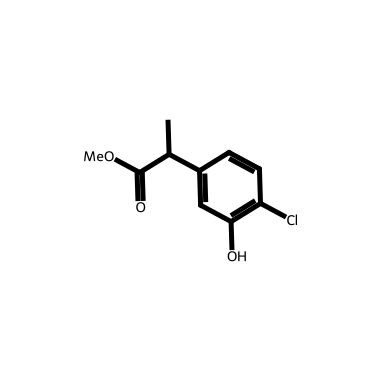 COC(=O)C(C)c1ccc(Cl)c(O)c1